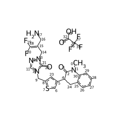 CN1C(=O)C(c2csc(Cn3cnn(CC(CN)=C(F)F)c3=O)c2)Cc2ccccc21.O=C(O)C(F)(F)F